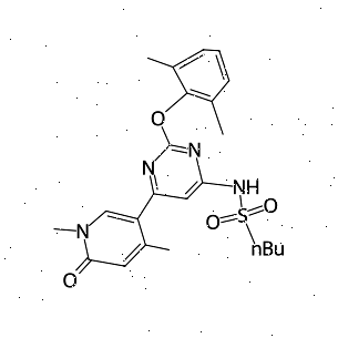 CCCCS(=O)(=O)Nc1cc(-c2cn(C)c(=O)cc2C)nc(Oc2c(C)cccc2C)n1